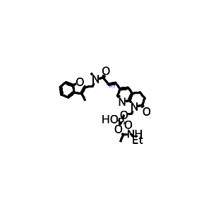 CCNC(C)OP(=O)(O)OCN1C(=O)CCc2cc(/C=C/C(=O)N(C)Cc3oc4ccccc4c3C)cnc21